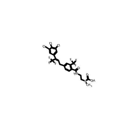 CN(CCNC(=O)c1ccc(CC=C(c2cc(Cl)c(Cl)c(Cl)c2)C(F)(F)F)cc1C(F)(F)F)C(=O)O